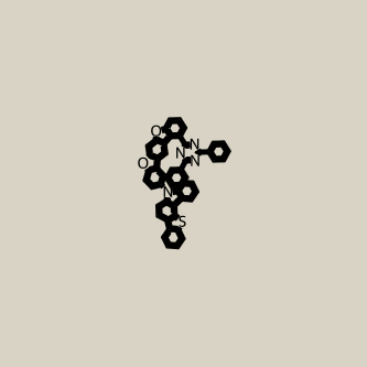 c1ccc(-c2nc(-c3ccccc3)nc(-c3cccc4oc5cc6oc7ccc(-n8c9ccccc9c9c%10sc%11ccccc%11c%10ccc98)cc7c6cc5c34)n2)cc1